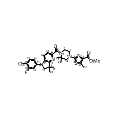 COC(=O)c1nc(N2CCN(C(=O)c3ccc4c(n3)C(C)(C)CN4c3ccc(Cl)c(F)c3)C(C)(C)C2)sc1C